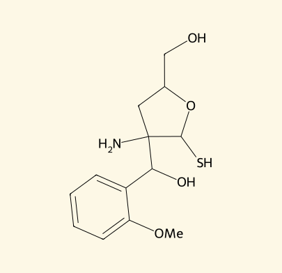 COc1ccccc1C(O)C1(N)CC(CO)OC1S